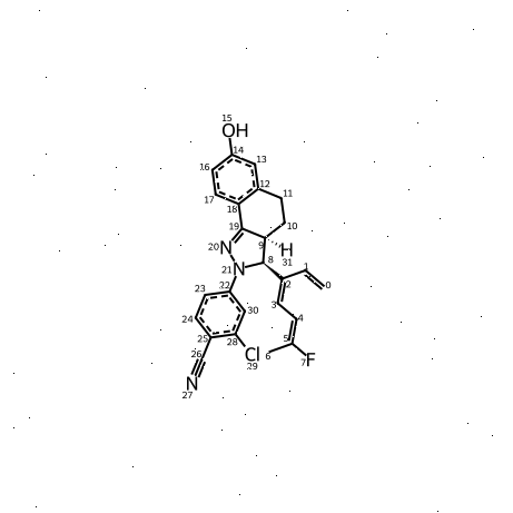 C=C/C(=C\C=C(/C)F)[C@@H]1[C@@H]2CCc3cc(O)ccc3C2=NN1c1ccc(C#N)c(Cl)c1